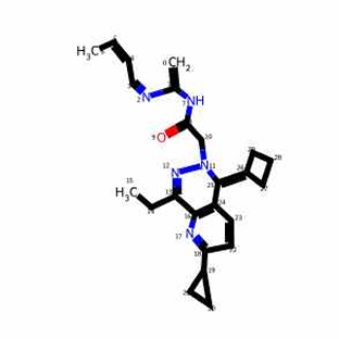 C=C(/N=C\C=C/C)NC(=O)CN1N=C(CC)c2nc(C3CC3)ccc2C1=C1CCC1